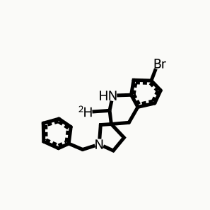 [2H]C1Nc2cc(Br)ccc2CC12CCN(Cc1ccccc1)C2